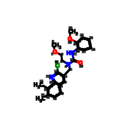 COCCN(Cc1cc2ccc(C)c(C)c2nc1Cl)C(=O)Nc1ccccc1OC